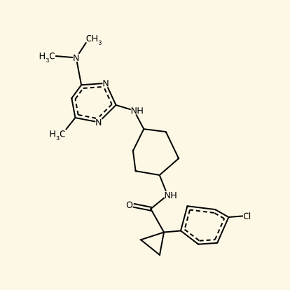 Cc1cc(N(C)C)nc(NC2CCC(NC(=O)C3(c4ccc(Cl)cc4)CC3)CC2)n1